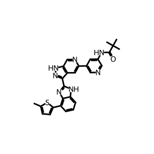 Cc1ccc(-c2cccc3[nH]c(-c4n[nH]c5cnc(-c6cncc(NC(=O)C(C)(C)C)c6)cc45)nc23)s1